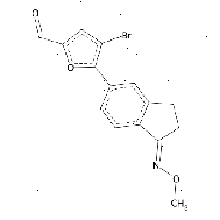 CON=C1CCc2cc(-c3oc(C=O)cc3Br)ccc21